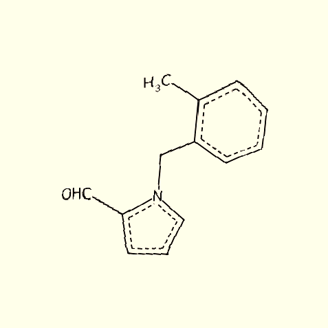 Cc1ccccc1Cn1cccc1C=O